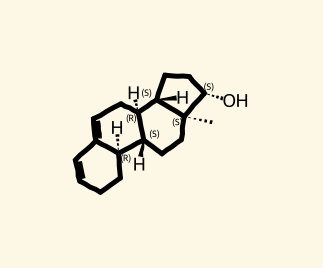 C[C@]12CC[C@H]3[C@@H](CC=C4C=CCC[C@@H]43)[C@@H]1CC[C@@H]2O